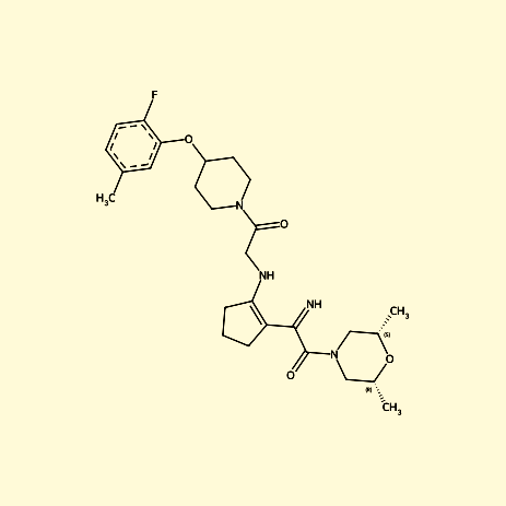 Cc1ccc(F)c(OC2CCN(C(=O)CNC3=C(C(=N)C(=O)N4C[C@@H](C)O[C@@H](C)C4)CCC3)CC2)c1